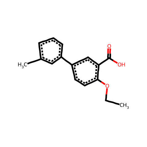 CCOc1ccc(-c2cccc(C)c2)cc1C(=O)O